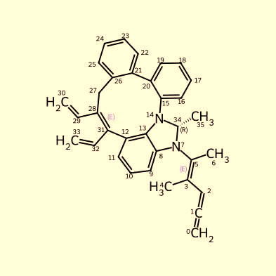 C=C=C/C(C)=C(\C)N1c2cccc3c2N(c2ccccc2-c2ccccc2C/C(C=C)=C\3C=C)[C@@H]1C